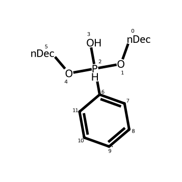 CCCCCCCCCCO[PH](O)(OCCCCCCCCCC)c1cc[c]cc1